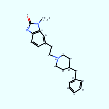 O=C(O)n1c(=O)[nH]c2ccc(CCN3CCC(Cc4ccccc4)CC3)cc21